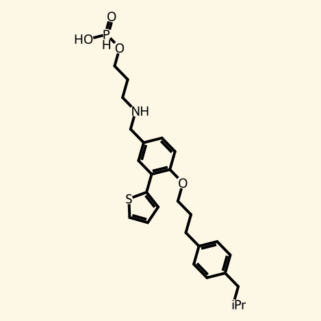 CC(C)Cc1ccc(CCCOc2ccc(CNCCCO[PH](=O)O)cc2-c2cccs2)cc1